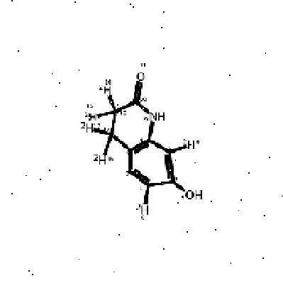 [2H]c1cc2c(c([2H])c1O)NC(=O)C([2H])([2H])C2([2H])[2H]